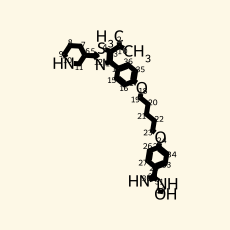 CC(C)c1sc(C2CCCNC2)nc1-c1ccc(OCCCCCOc2ccc(C(=N)NO)cc2)cc1